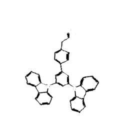 C=CCc1ccc(-c2cc(-n3c4ccccc4c4ccccc43)cc(-n3c4ccccc4c4ccccc43)c2)cc1